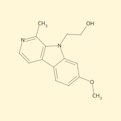 COc1ccc2c3ccnc(C)c3n(CCO)c2c1